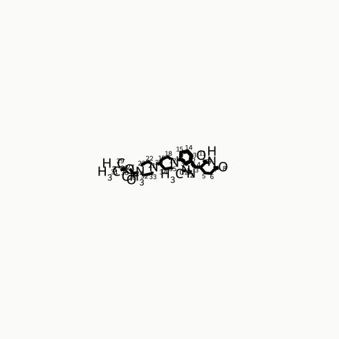 Cn1nc(C2CCC(=O)NC2=O)c2cccc(N3CCC(N4CCN(C(=O)OC(C)(C)C)CC4)CC3)c21